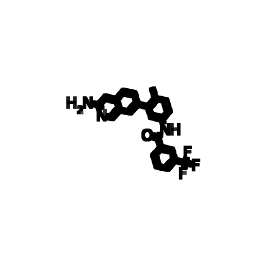 Cc1ccc(NC(=O)c2cccc(C(F)(F)F)c2)cc1-c1ccc2cc(N)ncc2c1